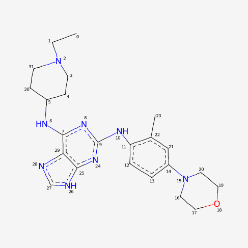 CCN1CCC(Nc2nc(Nc3ccc(N4CCOCC4)cc3C)nc3[nH]cnc23)CC1